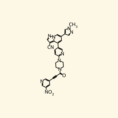 Cn1cc(-c2cc(-c3ccc(N4CCN(C(=O)C#Cc5cncc([N+](=O)[O-])c5)CC4)nc3)c3c(C#N)cnn3c2)cn1